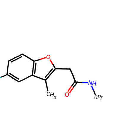 CCCNC(=O)Cc1oc2ccc(F)cc2c1C